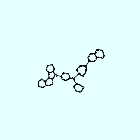 c1ccc(N(c2ccc(-c3ccc4ccccc4c3)cc2)c2ccc(-n3c4ccccc4c4c5ccccc5ccc43)cc2)cc1